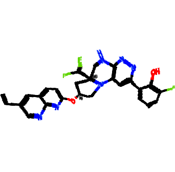 C=Cc1cnc2nc(O[C@H]3CN4c5cc(-c6cccc(F)c6O)nnc5NC[C@@]4(C(F)F)C3)ccc2c1